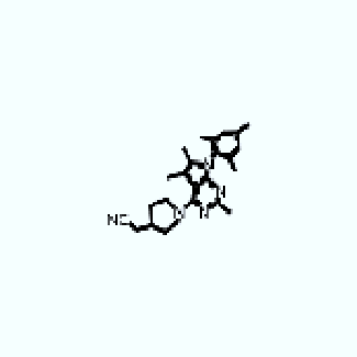 Cc1cc(C)c(-n2c(C)c(C)c3c(N4CCC(CC#N)CC4)nc(C)nc32)c(C)c1